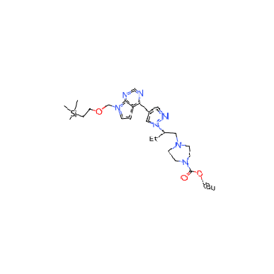 CCC(CN1CCN(C(=O)OC(C)(C)C)CC1)n1cc(-c2ncnc3c2ccn3COCC[Si](C)(C)C)cn1